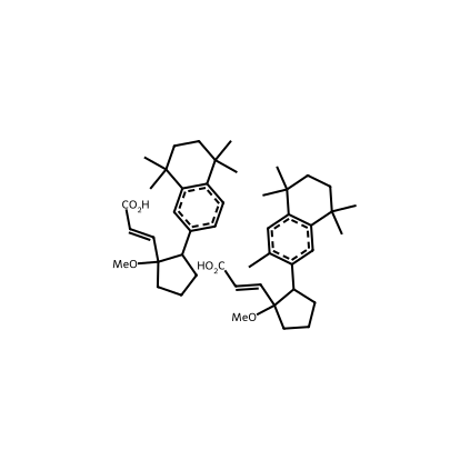 COC1(/C=C/C(=O)O)CCCC1c1cc2c(cc1C)C(C)(C)CCC2(C)C.COC1(/C=C/C(=O)O)CCCC1c1ccc2c(c1)C(C)(C)CCC2(C)C